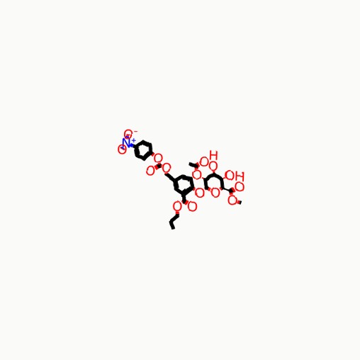 CCCOC(=O)c1cc(COC(=O)Oc2ccc([N+](=O)[O-])cc2)ccc1O[C@@H]1O[C@H](C(=O)OC)[C@@H](O)[C@H](O)[C@H]1OC(C)=O